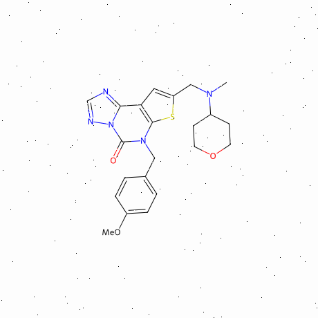 COc1ccc(Cn2c(=O)n3ncnc3c3cc(CN(C)C4CCOCC4)sc32)cc1